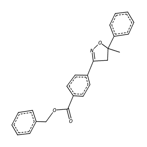 CC1(c2ccccc2)CC(c2ccc(C(=O)OCc3ccccc3)cc2)=NO1